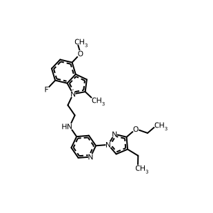 CCOc1nn(-c2cc(NCCn3c(C)cc4c(OC)ccc(F)c43)ccn2)cc1CC